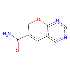 NC(=O)C1=Cc2cncnc2OC1